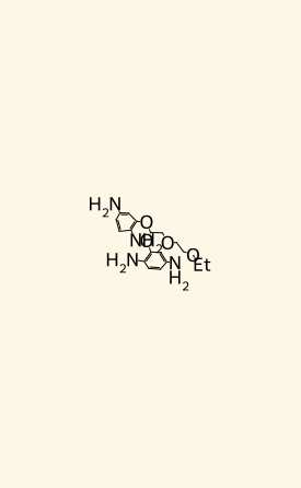 CCOCCOCC(Oc1cc(N)ccc1N)Oc1cc(N)ccc1N